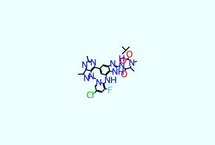 Cc1nc(-c2cc(Nc3ncc(Cl)cc3F)c3[nH]c(NC(=O)C(C)N(C)C(=O)OC(C)(C)C)nc3c2)c2c(n1)c(C)nn2C